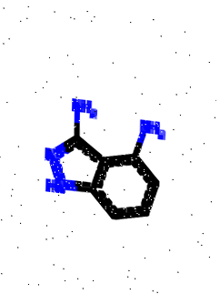 Nc1cccc2[nH]nc(N)c12